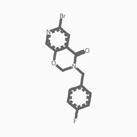 O=C1c2cc(Br)ncc2OCN1Cc1ccc(F)cc1